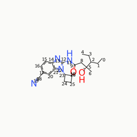 CCC(CC)C(C)(O)CC(=O)Nc1nc2ccc(C#N)cc2n1C1CCC1